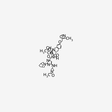 CC(=O)N1CC(Nc2cc(C(=O)NC[C@@H](O)[C@@H]3Cc4ccc(OCc5ocnc5C)cc4CN3C(=O)OC(C)(C)C)nc(N3CC4CCC(C4)C3)n2)C1